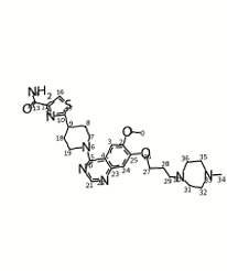 COc1cc2c(N3CCC(c4nc(C(N)=O)cs4)CC3)ncnc2cc1OCCCN1CCN(C)CC1